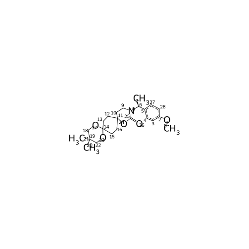 COc1ccc([C@H](C)N2CCC3(CCC4(CC3)OCC(C)(C)CO4)OC2=O)cc1